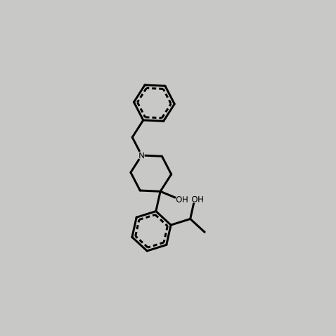 CC(O)c1ccccc1C1(O)CCN(Cc2ccccc2)CC1